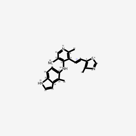 Cc1ncsc1/C=C/c1c(C)ncc(C#N)c1Nc1ccc2[nH]ccc2c1C